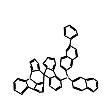 c1ccc(-c2ccc3cc(N(c4ccc5ccccc5c4)c4cccc5c4-c4ccccc4C54c5ccccc5-n5c6ccccc6c6cccc4c65)ccc3c2)cc1